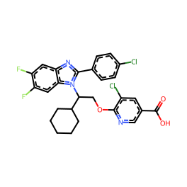 O=C(O)c1cnc(OCC(C2CCCCC2)n2c(-c3ccc(Cl)cc3)nc3cc(F)c(F)cc32)c(Cl)c1